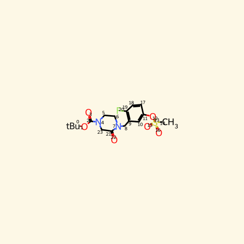 CC(C)(C)OC(=O)N1CCN(Cc2cc(OS(C)(=O)=O)ccc2F)C(=O)C1